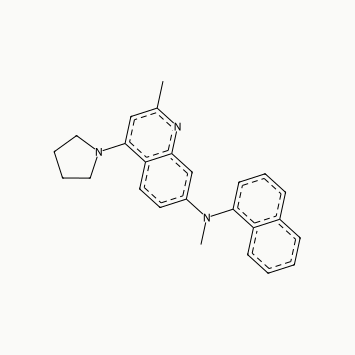 Cc1cc(N2CCCC2)c2ccc(N(C)c3cccc4ccccc34)cc2n1